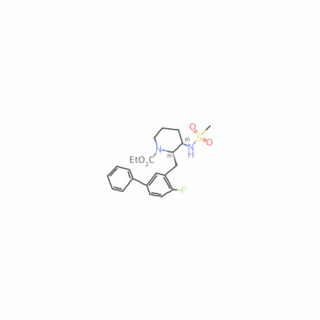 CCOC(=O)N1CCC[C@@H](NS(C)(=O)=O)[C@H]1Cc1cc(-c2ccccc2)ccc1F